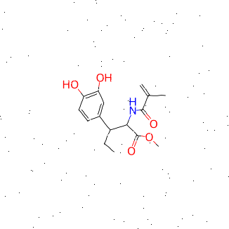 C=C(C)C(=O)NC(C(=O)OC)C(CC)c1ccc(O)c(O)c1